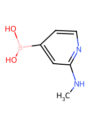 CNc1cc(B(O)O)ccn1